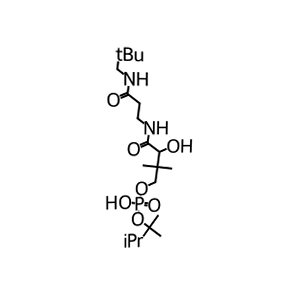 CC(C)C(C)(C)OP(=O)(O)OCC(C)(C)C(O)C(=O)NCCC(=O)NCC(C)(C)C